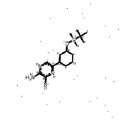 CC(C)(C)[Si](C)(C)OC1CCCC(c2cnc(N)c(Br)n2)C1